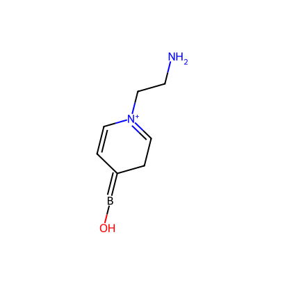 NCC[N+]1=CC/C(=B\O)C=C1